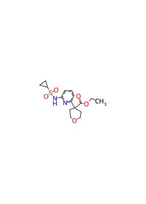 CCOC(=O)C1(c2cccc(NS(=O)(=O)C3CC3)n2)CCOCC1